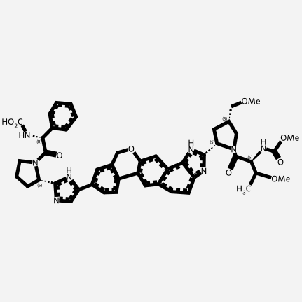 COC[C@H]1C[C@@H](c2nc3ccc4cc5c(cc4c3[nH]2)OCc2cc(-c3cnc([C@@H]4CCCN4C(=O)[C@H](NC(=O)O)c4ccccc4)[nH]3)ccc2-5)N(C(=O)[C@@H](NC(=O)OC)C(C)OC)C1